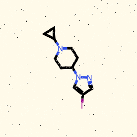 Ic1cnn(C2CCN(C3CC3)CC2)c1